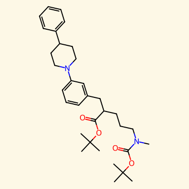 CN(CCCC(Cc1cccc(N2CCC(c3ccccc3)CC2)c1)C(=O)OC(C)(C)C)C(=O)OC(C)(C)C